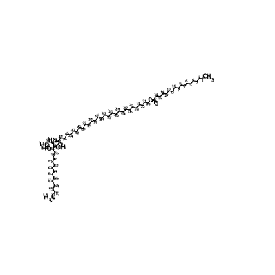 CCCCCCCCCCCCCC=CC=CC(=O)OCCCCCCCCCCCCCCCCCCCCCCCCCCCCC(=O)N[C@H](CO)[C@H](O)C(O)CCCCCCCCCCCCCC